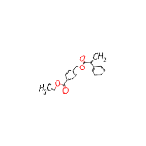 C=C(C(=O)OCc1ccc(C(=O)OCC)cc1)c1ccccc1